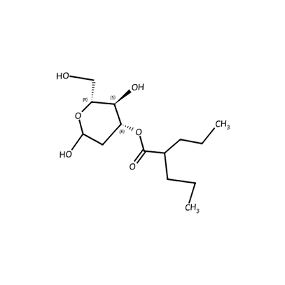 CCCC(CCC)C(=O)O[C@@H]1CC(O)O[C@H](CO)[C@H]1O